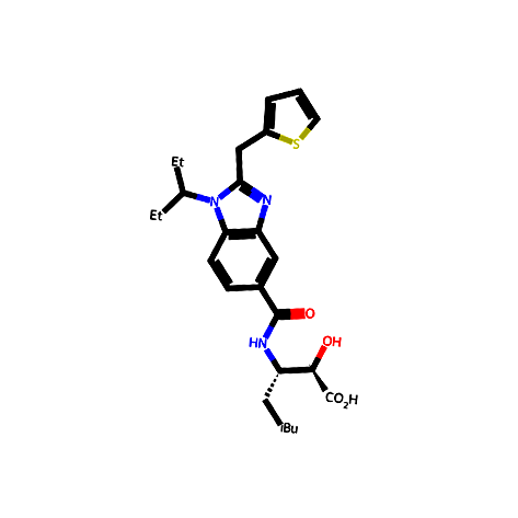 CCC(C)C[C@H](NC(=O)c1ccc2c(c1)nc(Cc1cccs1)n2C(CC)CC)[C@@H](O)C(=O)O